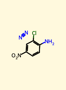 N#N.Nc1ccc([N+](=O)[O-])cc1Cl